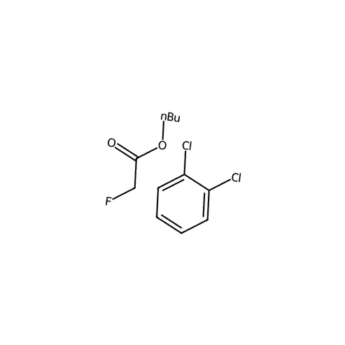 CCCCOC(=O)CF.Clc1ccccc1Cl